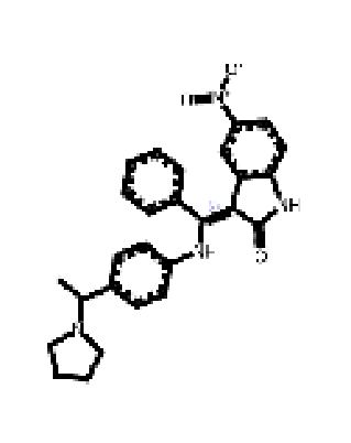 CC(c1ccc(N/C(=C2\C(=O)Nc3ccc([N+](=O)[O-])cc32)c2ccccc2)cc1)N1CCCC1